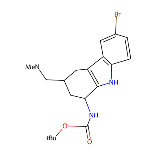 CNCC1Cc2c([nH]c3ccc(Br)cc23)C(NC(=O)OC(C)(C)C)C1